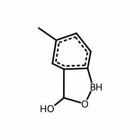 Cc1ccc2c(c1)C(O)OB2